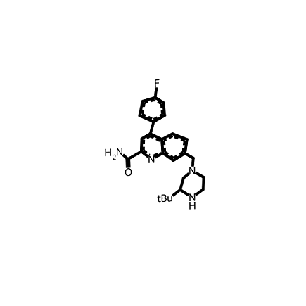 CC(C)(C)C1CN(Cc2ccc3c(-c4ccc(F)cc4)cc(C(N)=O)nc3c2)CCN1